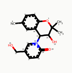 CC1(C)Oc2ccc(C#N)cc2C(n2cc(CO)ccc2=O)C1O